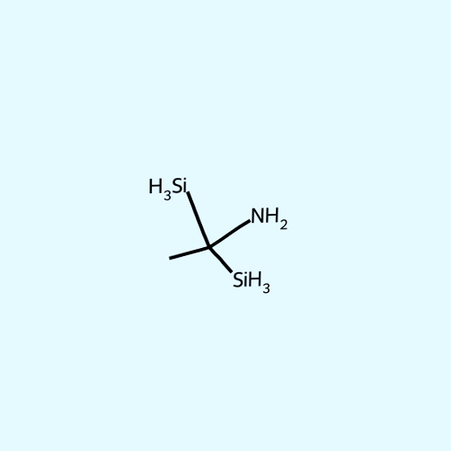 CC(N)([SiH3])[SiH3]